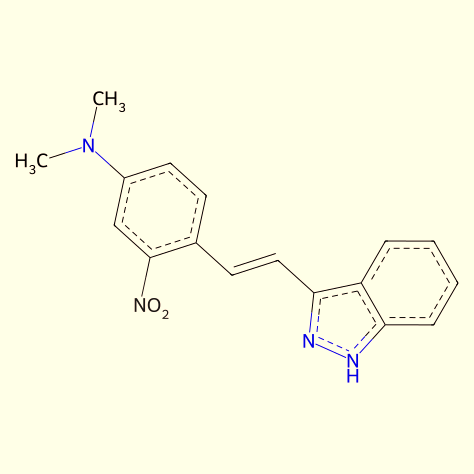 CN(C)c1ccc(/C=C/c2n[nH]c3ccccc23)c([N+](=O)[O-])c1